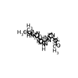 CC(=O)c1ccc(-c2nccc3[nH]c(-c4n[nH]c5cnc(-c6cncc(NC(=O)CC(C)C)c6)cc45)nc23)s1